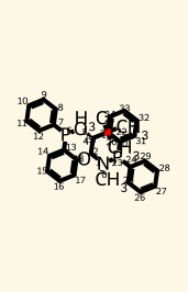 CN(C(=O)[C@@H](OP(c1ccccc1)c1ccccc1)C(C)(C)C)P(c1ccccc1)c1ccccc1